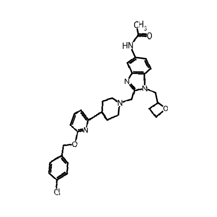 CC(=O)Nc1ccc2c(c1)nc(CN1CCC(c3cccc(OCc4ccc(Cl)cc4)n3)CC1)n2CC1CCO1